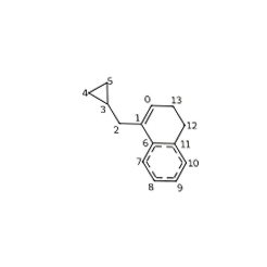 C1=C(CC2CC2)c2ccccc2CC1